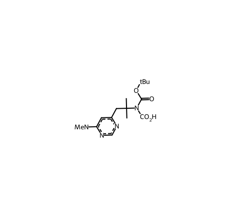 CNc1cc(CC(C)(C)N(C(=O)O)C(=O)OC(C)(C)C)ncn1